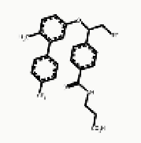 Cc1ccc(OC(CC(C)C)c2ccc(C(=O)NCCC(=O)O)cc2)cc1-c1ccc(C(F)(F)F)cc1